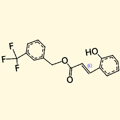 O=C(/C=C/c1ccccc1O)OCc1cccc(C(F)(F)F)c1